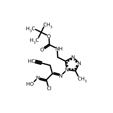 C#CCC(=N\n1c(C)nnc1CNC(=O)OC(C)(C)C)/C(Cl)=N/O